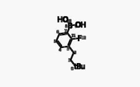 CC(C)(C)CCc1cccc(B(O)O)c1F